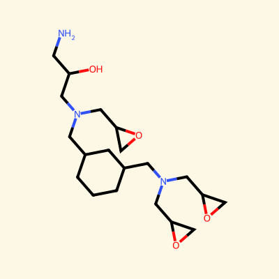 NCC(O)CN(CC1CCCC(CN(CC2CO2)CC2CO2)C1)CC1CO1